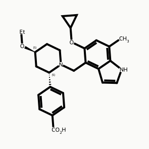 CCO[C@H]1CCN(Cc2c(OC3CC3)cc(C)c3[nH]ccc23)[C@H](c2ccc(C(=O)O)cc2)C1